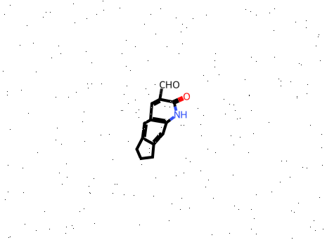 O=Cc1cc2cc3c(cc2[nH]c1=O)CCC3